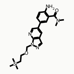 CN(C)C(=O)c1cc(-c2cnc3c(cnn3COCC[Si](C)(C)C)c2)ccc1N